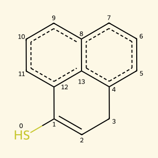 SC1=CCc2cccc3cccc1c23